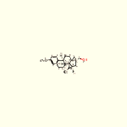 CC[C@@H]1Cc2cc(OC)ccc2[C@H]2CC[C@]3(C)[C@H](CO)C[C@H]4C[C@]43[C@H]12